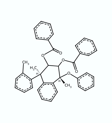 Cc1ccccc1[C@]1(C)c2ccccc2[C@@](C)(Oc2ccccc2)C(OC(=O)c2ccccc2)C1OC(=O)c1ccccc1